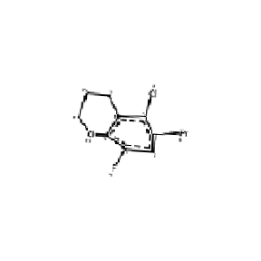 CC(C)c1cc(F)c2c(c1Cl)CCCO2